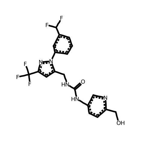 O=C(NCc1cc(C(F)(F)F)nn1-c1cccc(C(F)F)c1)Nc1ccc(CO)nc1